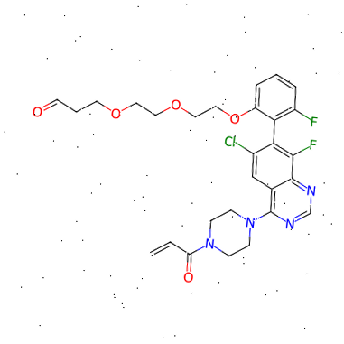 C=CC(=O)N1CCN(c2ncnc3c(F)c(-c4c(F)cccc4OCCOCCOCCC=O)c(Cl)cc23)CC1